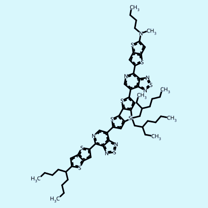 CCCCC(CC)C[Si]1(CC(CC)CCCC)c2cc(-c3cnc(-c4cc5sc(C(CCCC)CCCC)cc5s4)c4nsnc34)sc2-c2sc(-c3cnc(-c4cc5sc(N(C)CCCC)cc5s4)c4nsnc34)cc21